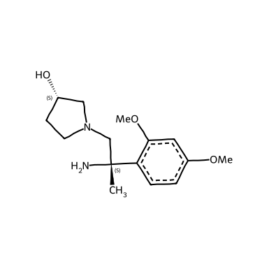 COc1ccc([C@](C)(N)CN2CC[C@H](O)C2)c(OC)c1